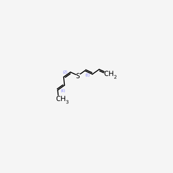 C=C/C=C/S/C=C\C=C\C